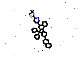 CC1(C)CSC(c2ccc(-c3cc4c(c5ccccc35)-c3ccc(-c5ccc6ccccc6c5)cc3C4(c3ccccc3)c3ccccc3)cn2)=N1